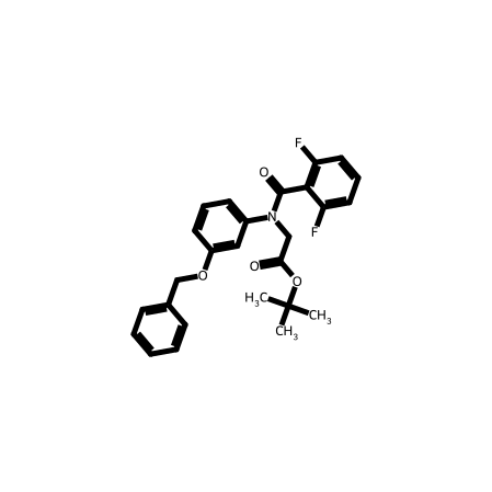 CC(C)(C)OC(=O)CN(C(=O)c1c(F)cccc1F)c1cccc(OCc2ccccc2)c1